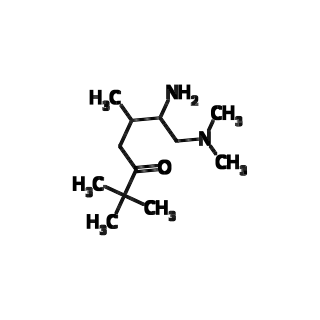 CC(CC(=O)C(C)(C)C)C(N)CN(C)C